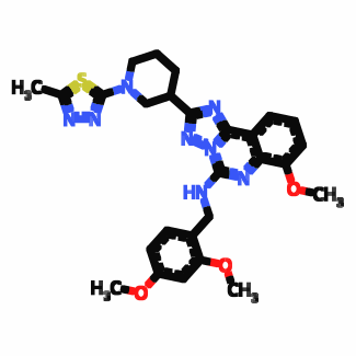 COc1ccc(CNc2nc3c(OC)cccc3c3nc(C4CCCN(c5nnc(C)s5)C4)nn23)c(OC)c1